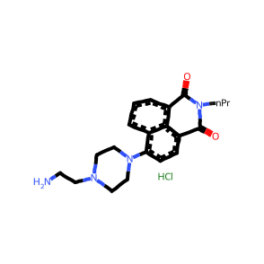 CCCN1C(=O)c2cccc3c(N4CCN(CCN)CC4)ccc(c23)C1=O.Cl